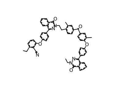 CCc1cccc(Oc2ccc(-c3nn(CCc4ccc(C(=O)c5ccc(Oc6ccc(-c7nn(CC)c(=O)c8ccccc78)cc6)c(C)c5)cc4C)c(=O)c4ccccc34)cc2)c1C#N